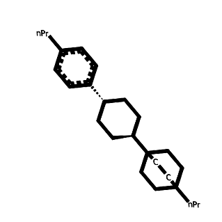 CCCc1ccc([C@H]2CC[C@H](C34CCC(CCC)(CC3)CC4)CC2)cc1